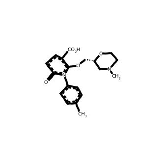 Cc1ccc(-n2c(OC[C@H]3CN(C)CCO3)c(C(=O)O)ccc2=O)cc1